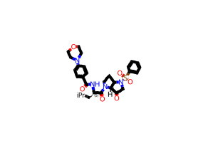 CC(C)C[C@H](NC(=O)c1ccc(N2CCOCC2)cc1)C(=O)N1CCC2[C@H]1C(=O)CN2S(=O)(=O)c1ccccc1